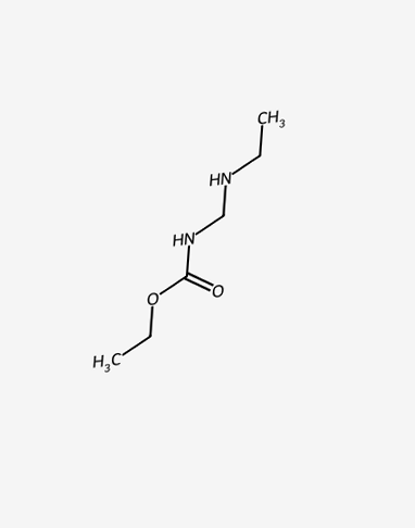 CCNCNC(=O)OCC